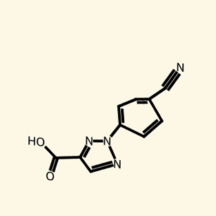 N#Cc1ccc(-n2ncc(C(=O)O)n2)cc1